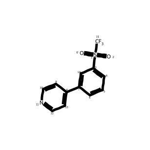 O=S(=O)(c1cccc(-c2ccncc2)c1)C(F)(F)F